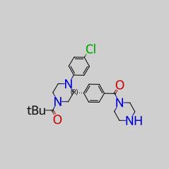 CC(C)(C)C(=O)N1CCN(c2ccc(Cl)cc2)[C@H](c2ccc(C(=O)N3CCNCC3)cc2)C1